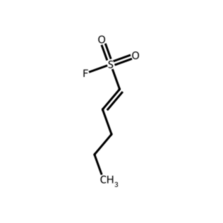 CCCC=CS(=O)(=O)F